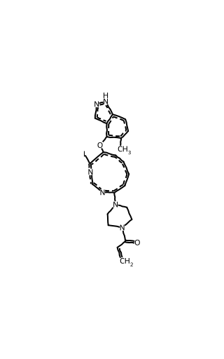 C=CC(=O)N1CCN(c2ccccc(Oc3c(C)ccc4[nH]ncc34)c(I)ncn2)CC1